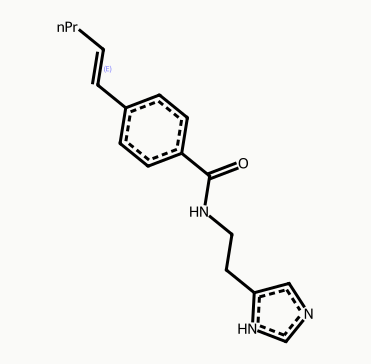 CCC/C=C/c1ccc(C(=O)NCCc2cnc[nH]2)cc1